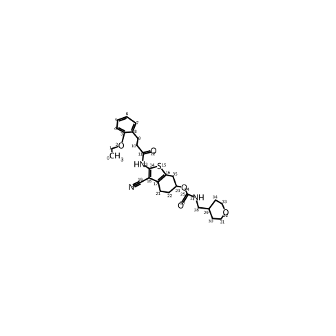 CCOc1ccccc1CCC(=O)Nc1sc2c(c1C#N)CCC(OC(=O)NCC1CCOCC1)C2